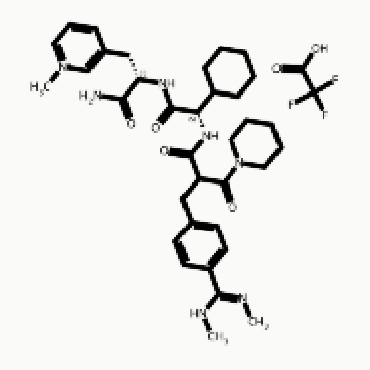 CN=C(NC)c1ccc(CC(C(=O)N[C@H](C(=O)N[C@@H](Cc2ccc[n+](C)c2)C(N)=O)C2CCCCC2)C(=O)N2CCCCC2)cc1.O=C(O)C(F)(F)F